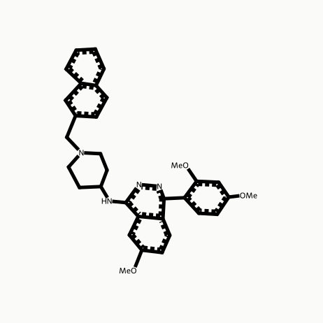 COc1ccc(-c2nnc(NC3CCN(Cc4ccc5ccccc5c4)CC3)c3cc(OC)ccc23)c(OC)c1